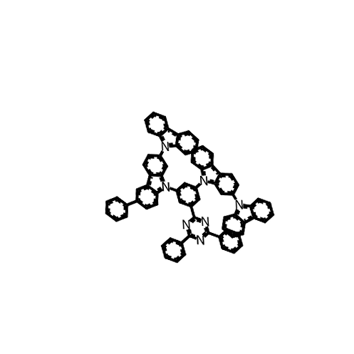 c1ccc(-c2ccc3c(c2)c2ccc(-n4c5ccccc5c5ccccc54)cc2n3-c2cc(-c3nc(-c4ccccc4)nc(-c4ccccc4)n3)cc(-n3c4ccccc4c4ccc(-n5c6ccccc6c6ccccc65)cc43)c2)cc1